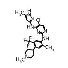 Cc1cc(Nc2nc(Nc3cc(C(F)(F)F)c(C4CCN(C)CC4)cc3C)ncc2Cl)n[nH]1